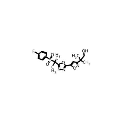 CC(C)(CO)c1cc(-c2nnc(C(C)(C)S(=O)(=O)c3ccc(F)cc3)o2)on1